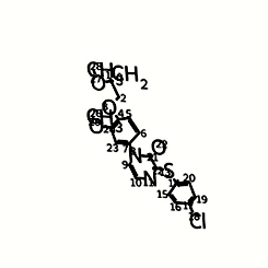 C=C(COc1ccc(-n2ccnc(Sc3ccc(Cl)cc3)c2=O)cc1OC)OC